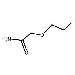 NC(=O)COCCI